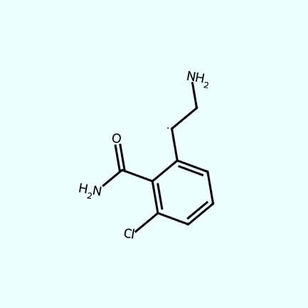 NC[CH]c1cccc(Cl)c1C(N)=O